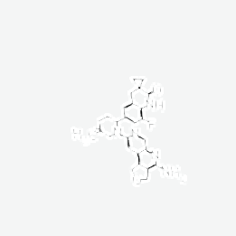 C[C@H]1CCC(c2cc(F)c3c(c2)CC2(CC2)C(=O)N3)N(c2cc3c4c(c(N)nc3cn2)COC4)C1